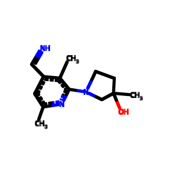 Cc1cc(C=N)c(C)c(N2CCC(C)(O)C2)n1